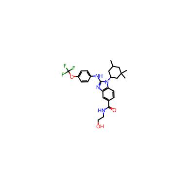 CC1CC(n2c(Nc3ccc(OC(F)(F)F)cc3)nc3cc(C(=O)NCCO)ccc32)CC(C)(C)C1